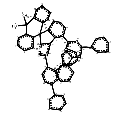 CC1(C)c2ccccc2C2(c3ccc(-c4ccc(-c5ccccc5)cc4-c4ccccc4)cc3-c3c(-c4nc(-c5ccccc5)cc(-c5ccccc5)n4)cccc32)c2ccccc21